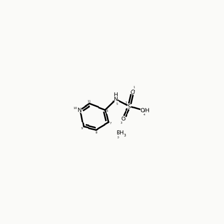 B.O=S(=O)(O)Nc1cccnc1